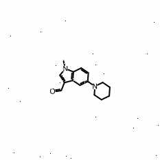 Cn1cc(C=O)c2cc(N3CCCCC3)ccc21